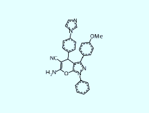 COc1ccc(-c2nn(-c3ccccc3)c3c2C(c2ccc(-n4ccnc4)cc2)C(C#N)=C(N)O3)cc1